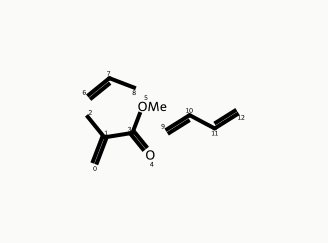 C=C(C)C(=O)OC.C=CC.C=CC=C